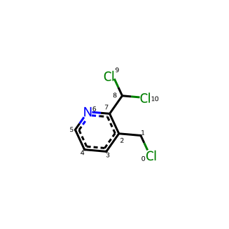 ClCc1cccnc1C(Cl)Cl